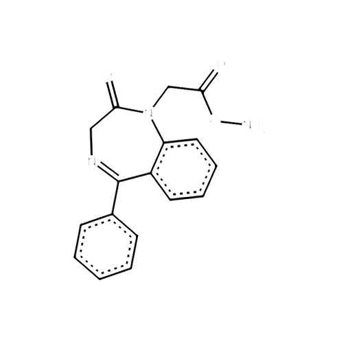 NOC(=O)CN1C(=O)CN=C(c2ccccc2)c2ccccc21